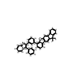 CC1(C)c2ccccc2-c2cc3oc4c(-c5cccc(-c6nc7ccccn7c6-c6ccccc6)c5)cccc4c3cc21